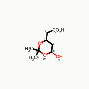 CC1(C)O[C@@H](CC(=O)O)C[C@@H](O)O1